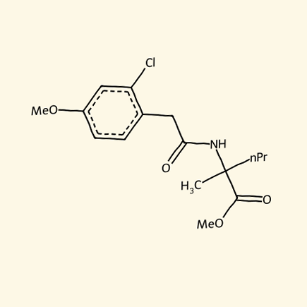 CCCC(C)(NC(=O)Cc1ccc(OC)cc1Cl)C(=O)OC